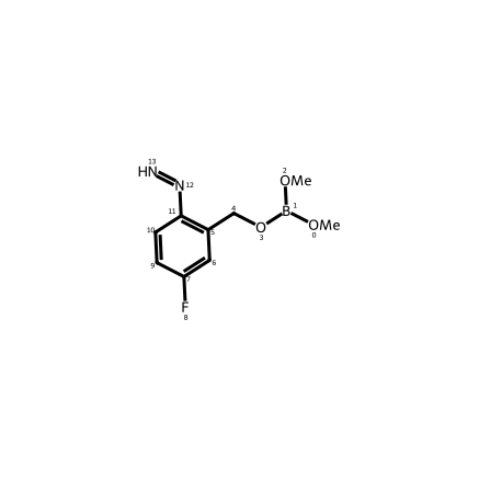 COB(OC)OCc1cc(F)ccc1N=N